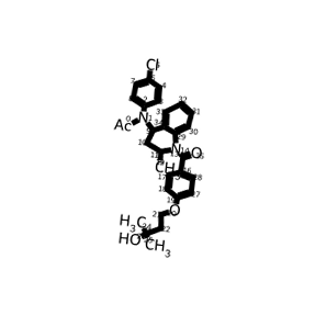 CC(=O)N(c1ccc(Cl)cc1)C1CC(C)N(C(=O)c2ccc(OCCC(C)(C)O)cc2)c2ccccc21